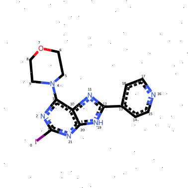 Ic1nc(N2CCOCC2)c2nc(-c3ccncc3)[nH]c2n1